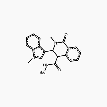 CCC(C)NC(=O)C1c2ccccc2C(=O)N(C)C1c1cn(C)c2ccccc12